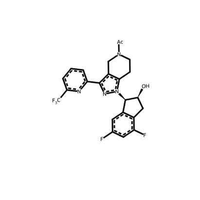 CC(=O)N1CCc2c(c(-c3cccc(C(F)(F)F)n3)nn2[C@@H]2c3cc(F)cc(F)c3C[C@@H]2O)C1